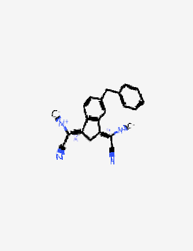 [C-]#[N+]/C(C#N)=C1/C/C(=C(\C#N)[N+]#[C-])c2cc(Cc3ccccc3)ccc21